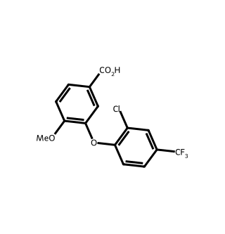 COc1ccc(C(=O)O)cc1Oc1ccc(C(F)(F)F)cc1Cl